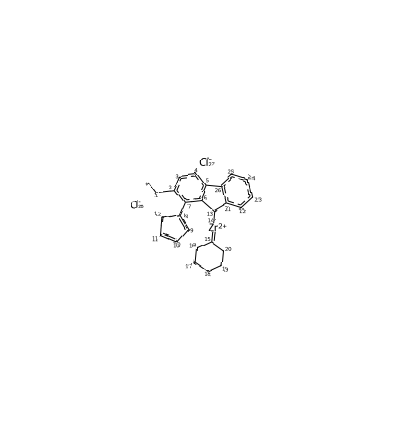 CCc1ccc2c(c1C1=CC=CC1)[CH]([Zr+2]=[C]1CCCCC1)c1ccccc1-2.[Cl-].[Cl-]